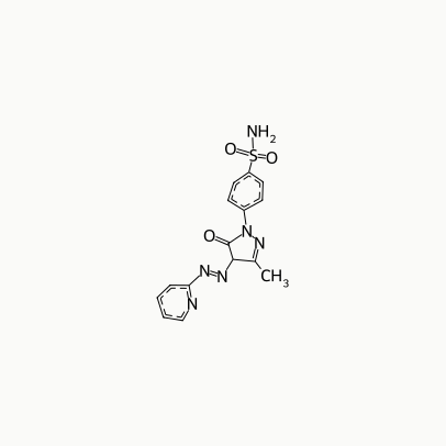 CC1=NN(c2ccc(S(N)(=O)=O)cc2)C(=O)C1N=Nc1ccccn1